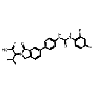 CC(C)C(C(=O)O)N1Cc2ccc(-c3ccc(NC(=O)Nc4ccc(F)cc4F)cc3)cc2C1=O